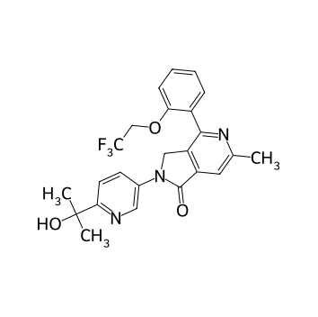 Cc1cc2c(c(-c3ccccc3OCC(F)(F)F)n1)CN(c1ccc(C(C)(C)O)nc1)C2=O